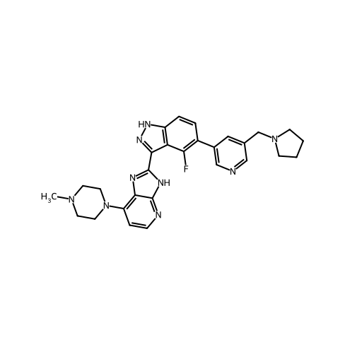 CN1CCN(c2ccnc3[nH]c(-c4n[nH]c5ccc(-c6cncc(CN7CCCC7)c6)c(F)c45)nc23)CC1